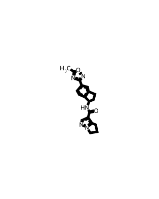 Cc1nc(-c2ccc3c(c2)CCC3NC(=O)c2cnn3c2CCC3)no1